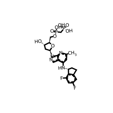 Cc1cc(N[C@@H]2CCc3cc(F)cc(F)c32)c2cnn([C@H]3C[C@H](O)[C@@H](COP(=O)(O)CP(=O)(O)O)O3)c2n1